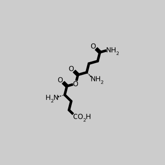 NC(=O)CC[C@H](N)C(=O)OC(=O)[C@@H](N)CCC(=O)O